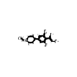 F/C=C(\F)c1c(F)cc(C2CC[SiH](CCl)CC2)cc1F